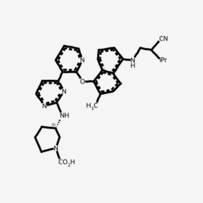 Cc1ccc2c(NCC(C#N)C(C)C)cccc2c1Oc1ncccc1-c1ccnc(N[C@H]2CCCN(C(=O)O)C2)n1